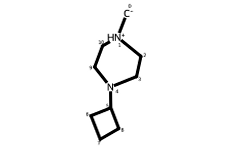 [CH2-][NH+]1CCN(C2CCC2)CC1